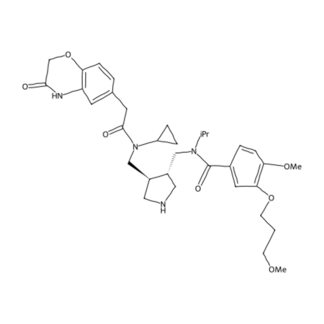 COCCCOc1cc(C(=O)N(C[C@@H]2CNC[C@H]2CN(C(=O)Cc2ccc3c(c2)NC(=O)CO3)C2CC2)C(C)C)ccc1OC